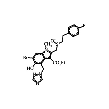 CCOC(=O)c1c(C[S+]([O-])CCc2ccc(F)cc2)n(C)c2cc(Br)c(O)c(Cn3cncn3)c12